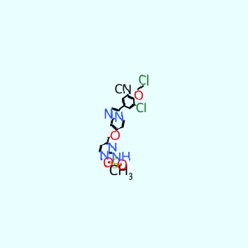 CS(=O)(=O)Nc1nccc(COc2ccn3c(-c4cc(Cl)c(OCCCl)c(C#N)c4)cnc3c2)n1